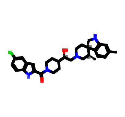 Cc1ccc2c(c1)NC[C@]21CCN(C[C@@H](O)C2CCN(C(=O)c3cc4cc(Cl)ccc4[nH]3)CC2)C[C@H]1C